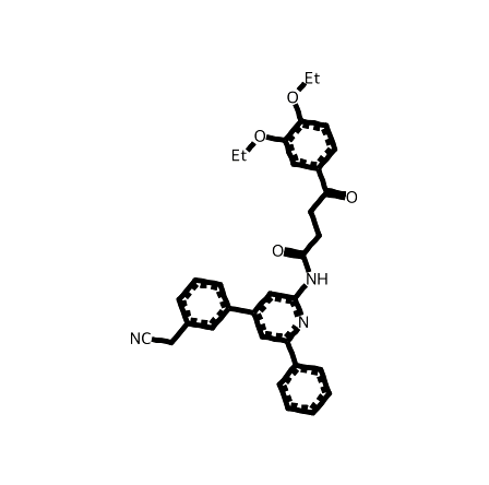 CCOc1ccc(C(=O)CCC(=O)Nc2cc(-c3cccc(CC#N)c3)cc(-c3ccccc3)n2)cc1OCC